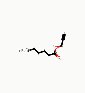 C#CCOC(=O)CCCCCCCCC